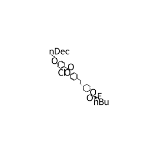 CCCCCCCCCCCCOc1ccc(C(=O)Oc2ccc(CC[C@H]3CC[C@H](OC(=O)[C@H](F)CCCC)CC3)cc2)c(Cl)c1